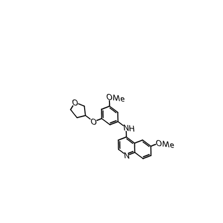 COc1cc(Nc2ccnc3ccc(OC)cc23)cc(OC2CCOC2)c1